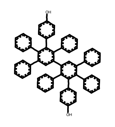 Oc1ccc(-c2c(-c3ccccc3)c(-c3ccccc3)cc(-c3cc(-c4ccccc4)c(-c4ccccc4)c(-c4ccc(O)cc4)c3-c3ccccc3)c2-c2ccccc2)cc1